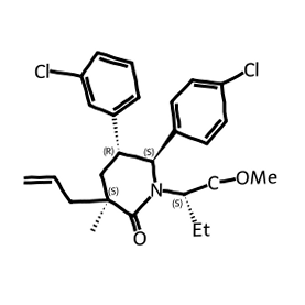 C=CC[C@@]1(C)C[C@H](c2cccc(Cl)c2)[C@@H](c2ccc(Cl)cc2)N([C@@H](CC)COC)C1=O